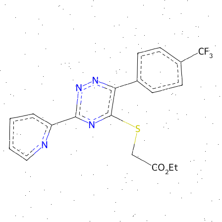 CCOC(=O)CSc1nc(-c2ccccn2)nnc1-c1ccc(C(F)(F)F)cc1